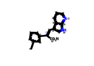 Cc1cccc(/C(=C/c2c[nH]c3ncccc23)C(=O)O)c1